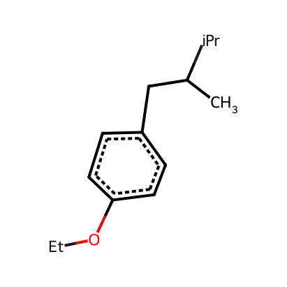 CCOc1ccc(CC(C)C(C)C)cc1